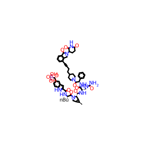 CCCC[C@H](NC(=O)c1cc2cc(C(=O)P(=O)(O)O)ccc2[nH]1)C(=O)N1CC2C([C@H]2C)[C@H]1C(=O)N[C@@H](CNC(N)=O)C(=O)N[C@H](C(=O)N1CCC(CCC#Cc2cccc3c2CN(C2CCC(=O)NC2=O)C3=O)CC1)c1ccccc1